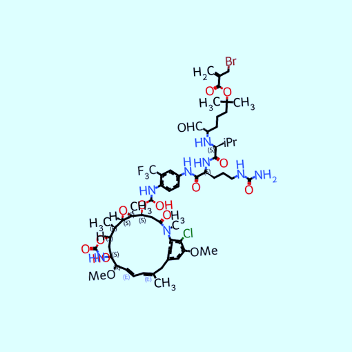 C=C(CBr)C(=O)OC(C)(C)CCCC(C=O)N[C@H](C(=O)N[C@@H](CCCNC(N)=O)C(=O)Nc1ccc(NC(O)O[C@H]2CC(=O)N(C)c3cc(cc(OC)c3Cl)C/C(C)=C/C=C/[C@@H](OC)[C@@]3(O)C[C@H](OC(=O)N3)[C@@H](C)[C@@H]3O[C@@]23C)c(C(F)(F)F)c1)C(C)C